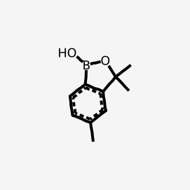 Cc1ccc2c(c1)C(C)(C)OB2O